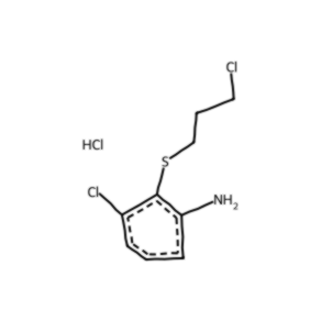 Cl.Nc1cccc(Cl)c1SCCCCl